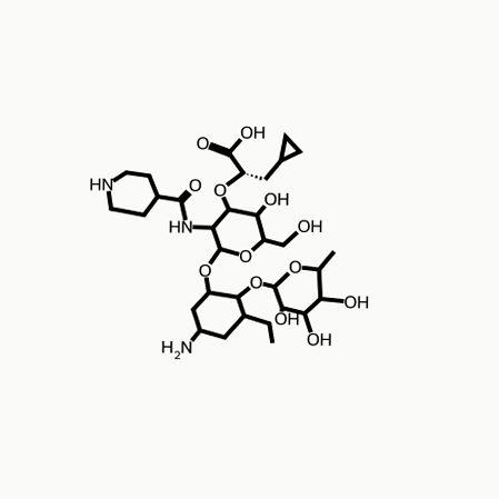 CCC1CC(N)CC(OC2OC(CO)C(O)C(O[C@@H](CC3CC3)C(=O)O)C2NC(=O)C2CCNCC2)C1OC1OC(C)C(O)C(O)C1O